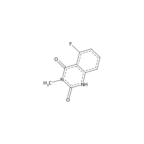 Cn1c(=O)[nH]c2cccc(F)c2c1=O